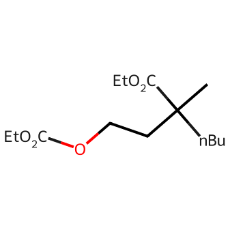 CCCCC(C)(CCOC(=O)OCC)C(=O)OCC